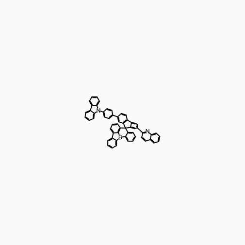 c1ccc2c(c1)B1c3ccccc3C3(c4cc(-c5ccc(-n6c7ccccc7c7ccccc76)cc5)ccc4-c4ccc(-c5ccc6ccccc6n5)cc43)c3cccc-2c31